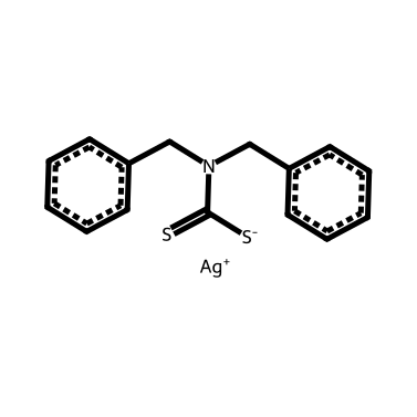 S=C([S-])N(Cc1ccccc1)Cc1ccccc1.[Ag+]